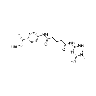 CN(C)C(=N)NC(=N)NC(=O)CCCC(=O)Nc1ccc(C(=O)OC(C)(C)C)cc1